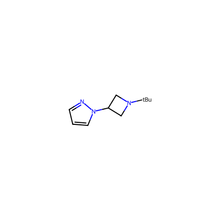 CC(C)(C)N1CC(n2cccn2)C1